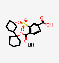 O=C(O)c1ccc(C(=O)OC2(C3CCCCC3)CCCCC2)c(S(=O)(=O)O)c1.[LiH]